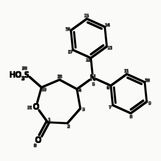 O=C1CCC(N(c2ccccc2)c2ccccc2)CC(S(=O)(=O)O)O1